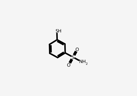 NS(=O)(=O)c1cccc(S)c1